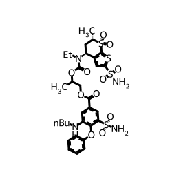 CCCCNc1cc(C(=O)OCC(C)OC(=O)N(CC)[C@H]2C[C@H](C)S(=O)(=O)c3sc(S(N)(=O)=O)cc32)cc(S(N)(=O)=O)c1Oc1ccccc1